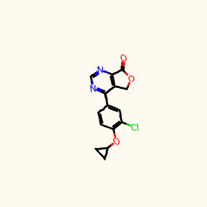 O=C1OCc2c1ncnc2-c1ccc(OC2CC2)c(Cl)c1